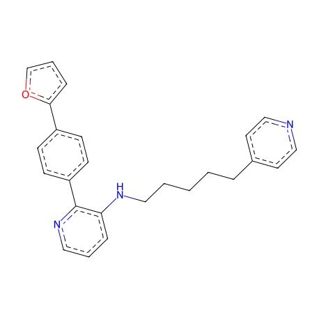 c1coc(-c2ccc(-c3ncccc3NCCCCCc3ccncc3)cc2)c1